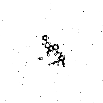 CSCCNc1cc(NC(=O)N2CCCc3cc(CN(C)C(=O)[C@@H]4CCCO4)c(C=O)nc32)ncc1C#N.Cl